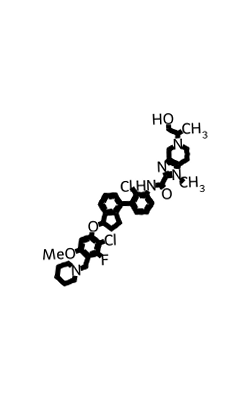 COc1cc(OC2CCc3c(-c4cccc(NC(=O)c5nc6c(n5C)CCN(C(C)CO)C6)c4Cl)cccc32)c(Cl)c(F)c1CN1CCCCC1